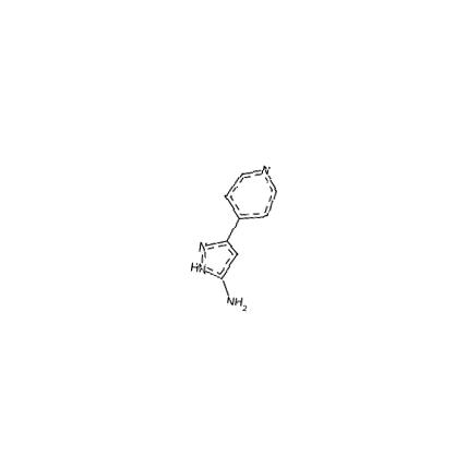 Nc1cc(-c2ccncc2)n[nH]1